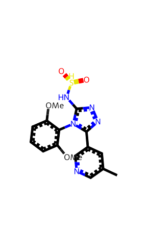 COc1cccc(OC)c1-n1c(N[SH](=O)=O)nnc1-c1cncc(C)c1